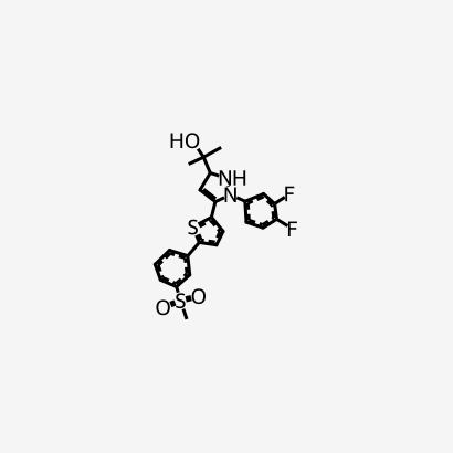 CC(C)(O)C1C=C(c2ccc(-c3cccc(S(C)(=O)=O)c3)s2)N(c2ccc(F)c(F)c2)N1